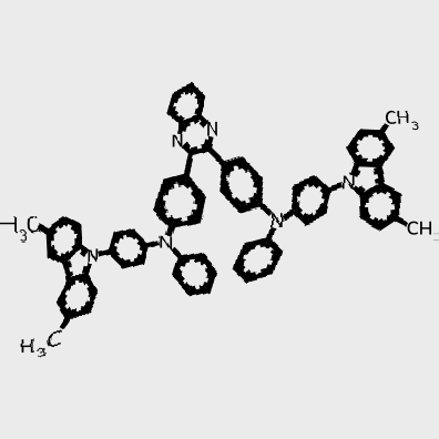 Cc1ccc2c(c1)c1cc(C)ccc1n2-c1ccc(N(c2ccccc2)c2ccc(-c3nc4ccccc4nc3-c3ccc(N(c4ccccc4)c4ccc(-n5c6ccc(C)cc6c6cc(C)ccc65)cc4)cc3)cc2)cc1